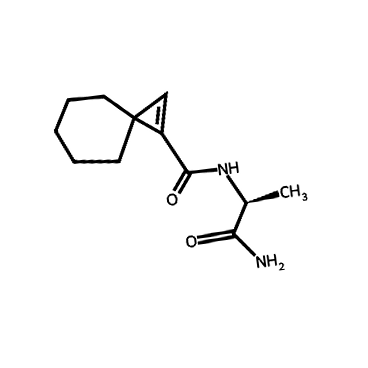 C[C@H](NC(=O)C1=CC12CCCCC2)C(N)=O